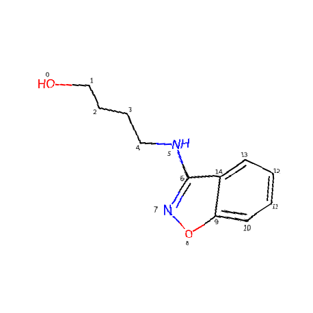 OCCCCNc1noc2ccccc12